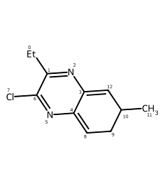 CCc1nc2c(nc1Cl)=CCC(C)C=2